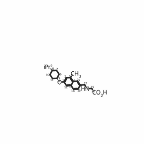 Cc1cc(O[C@H]2CC[C@H](C(C)C)CC2)cc2ccc(CNCC(=O)O)cc12